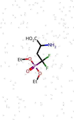 CCOP(=O)(OCC)C(F)(F)CC(N)C(=O)O